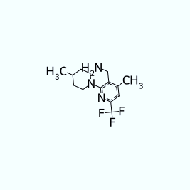 Cc1cc(C(F)(F)F)nc(N2CCC(C)CC2)c1CN